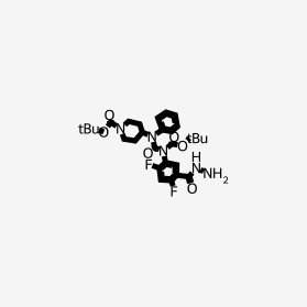 CC(C)(C)OC(=O)N1CCC(N(C(=O)N(C(=O)OC(C)(C)C)c2cc(C(=O)NN)c(F)cc2F)c2ccccc2)CC1